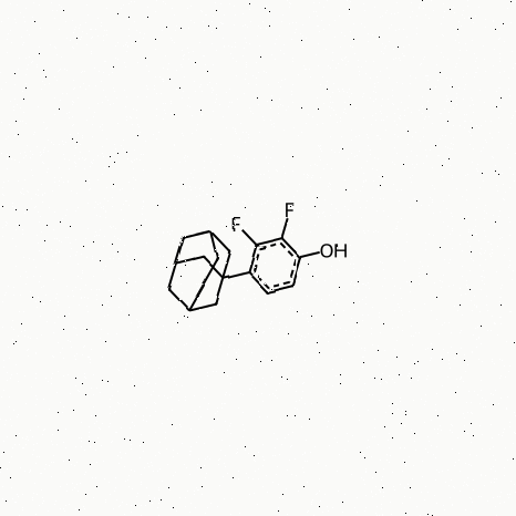 Oc1ccc(C23CC4CC(CC(C4)C2)C3)c(F)c1F